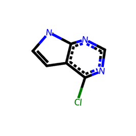 Clc1ncnc2c1C=C[N]2